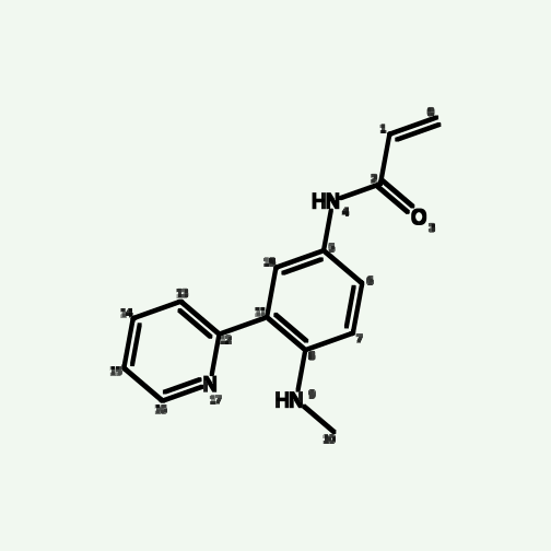 C=CC(=O)Nc1ccc(NC)c(-c2ccccn2)c1